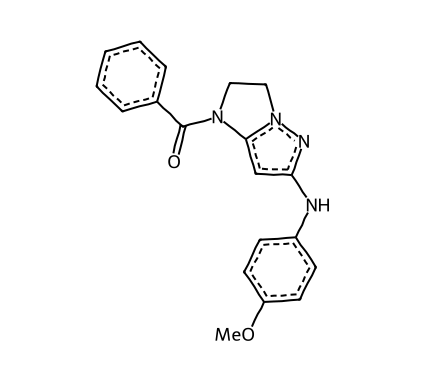 COc1ccc(Nc2cc3n(n2)CCN3C(=O)c2ccccc2)cc1